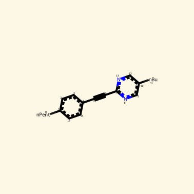 CCCCCc1ccc(C#Cc2ncc(CCCC)cn2)cc1